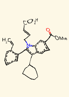 C=Cc1ccccc1-c1c(C2CCCCC2)c2ccc(C(=O)OC)cc2n1CC=CC(=O)O